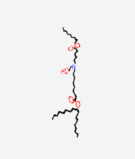 CCCCCC/C=C\COC(=O)CCCCCN(CCO)CCCCCCCC(=O)OC(CCCCCCCC)CCCCCCCC